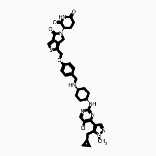 Cn1ncc(-c2nc(N[C@H]3CC[C@H](NCc4ccc(OCc5scc6c5CN([C@H]5CCC(=O)NC5=O)C6=O)cc4)CC3)ncc2Cl)c1CC1CC1